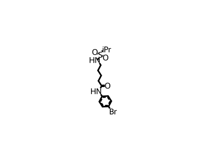 CC(C)S(=O)(=O)NCCCCC(=O)Nc1ccc(Br)cc1